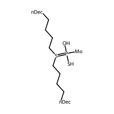 CCCCCCCCCCCCCCS(CCCCCCCCCCCCCC)=[P](O)(S)[Mo]